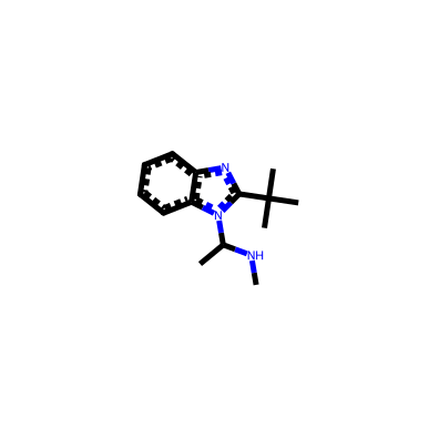 CNC(C)n1c(C(C)(C)C)nc2ccccc21